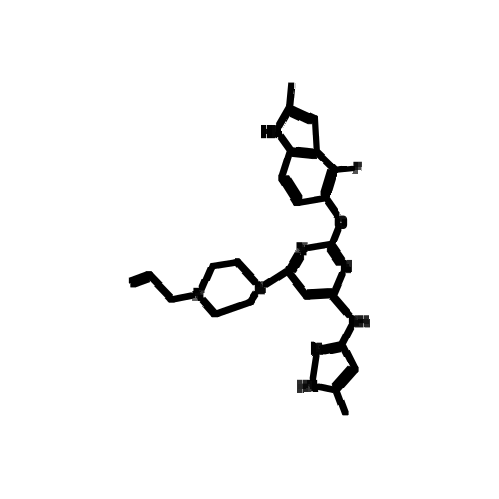 C=CCN1CCN(c2cc(Nc3cc(C)[nH]n3)nc(Oc3ccc4[nH]c(C)cc4c3F)n2)CC1